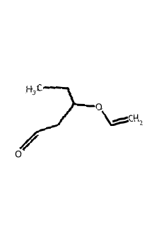 C=COC(CC)CC=O